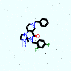 CC12NCCN1C1=C(CN(Cc3ccccc3)CC1)C(=O)N2Cc1ccc(F)cc1F